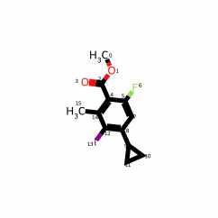 COC(=O)c1c(F)cc(C2CC2)c(I)c1C